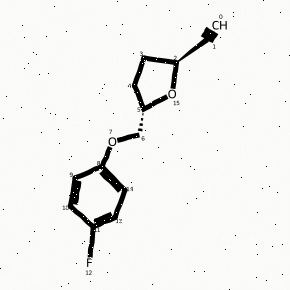 C#C[C@@H]1CC[C@@H](COc2ccc(F)cc2)O1